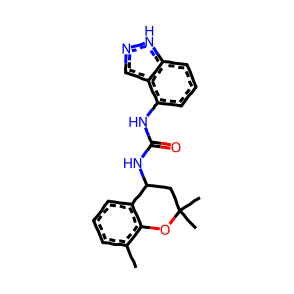 Cc1cccc2c1OC(C)(C)CC2NC(=O)Nc1cccc2[nH]ncc12